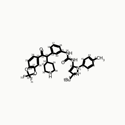 Cc1ccc(-n2nc(C(C)(C)C)cc2NC(=O)Nc2cccc(C(C(=O)c3ccc4c(c3)OC(F)(F)O4)C3CCNCC3)c2)cc1